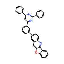 c1ccc(-c2cc(-c3cccc(-c4ccc5nc6c(cc5c4)oc4ccccc46)c3)nc(-c3ccccc3)n2)cc1